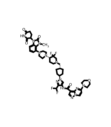 Cn1c(=O)n(C2CCC(=O)NC2=O)c2cccc(N3CCN([C@H]4CCN(C[C@H]5CC[C@H](n6cc(NC(=O)c7cnn8ccc(N9CCOCC9)nc78)c(C(F)F)n6)CC5)CC4(F)F)CC3)c21